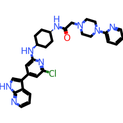 O=C(CN1CCN(c2ccccn2)CC1)N[C@H]1CC[C@H](Nc2cc(-c3c[nH]c4ncccc34)cc(Cl)n2)CC1